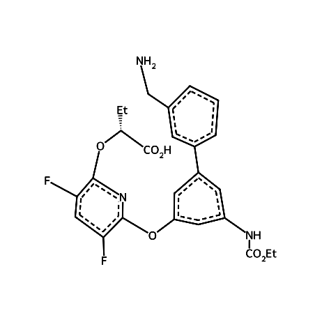 CCOC(=O)Nc1cc(Oc2nc(O[C@H](CC)C(=O)O)c(F)cc2F)cc(-c2cccc(CN)c2)c1